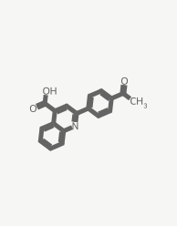 CC(=O)c1ccc(-c2cc(C(=O)O)c3ccccc3n2)cc1